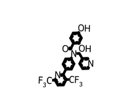 O=C(c1ccc(O)cc1O)N(Cc1cccnc1)c1ccc(-c2nc(C(F)(F)F)ccc2C(F)(F)F)cc1